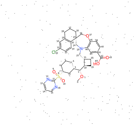 CO[C@H]([C@H]1CCC[C@@H](S(=O)(=O)c2ncccn2)C1)[C@@H]1CC[C@H]1CN1C[C@]2(CCCc3cc(Cl)ccc32)COc2ccc(C(=O)O)cc21